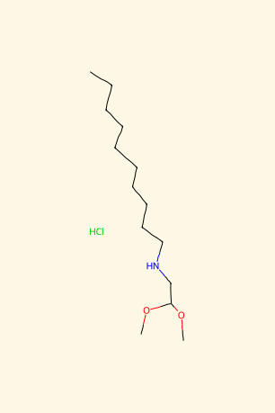 CCCCCCCCCCNCC(OC)OC.Cl